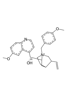 C=CC1C[N+]2(Cc3ccc(OC)cc3)CCC1CC2[C@H](O)c1ccnc2ccc(OC)cc12